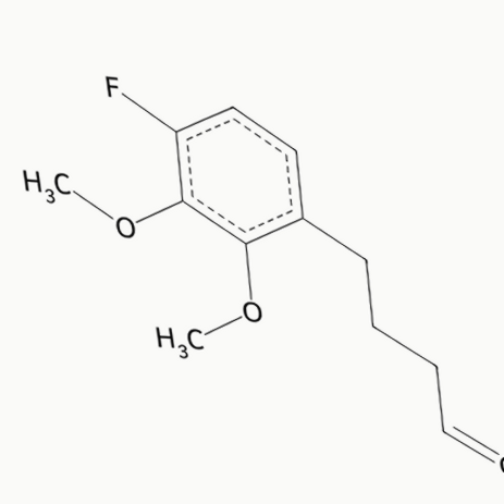 COc1c(F)ccc(CCCC=O)c1OC